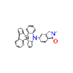 CN1Cc2cc(N3c4ccccc4[Si]4(c5ccccc5-c5ccccc54)c4ccccc43)ccc2C1=O